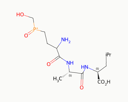 CC(C)C[C@H](NC(=O)[C@H](C)NC(=O)C(N)CC[P+](=O)CO)C(=O)O